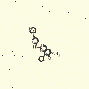 Nc1cc2cnc(Nc3ccc(N4CCN5CCC4CC5)cn3)nc2n(C2CCCC2)c1=O